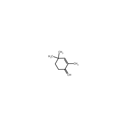 [CH]=C1CCC(C)(C)C=C1C